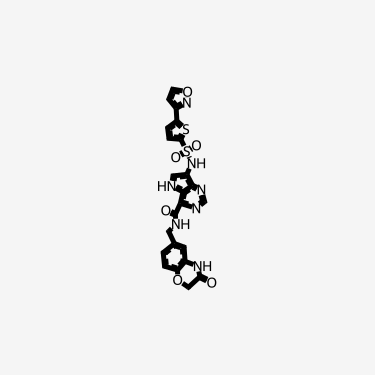 O=C1COc2ccc(CNC(=O)c3ncnc4c(NS(=O)(=O)c5ccc(-c6ccon6)s5)c[nH]c34)cc2N1